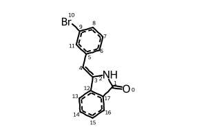 O=C1NC(=Cc2cccc(Br)c2)c2ccccc21